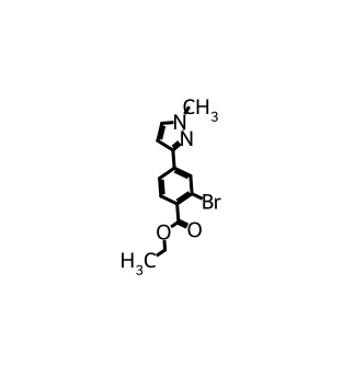 CCOC(=O)c1ccc(-c2ccn(C)n2)cc1Br